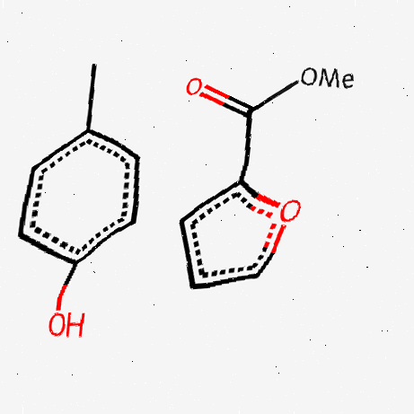 COC(=O)c1ccco1.Cc1ccc(O)cc1